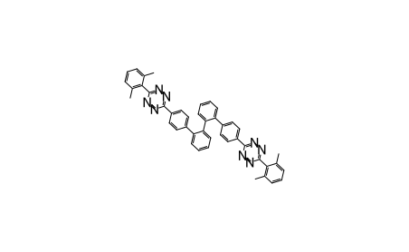 Cc1cccc(C)c1-c1nnc(-c2ccc(-c3ccccc3-c3ccccc3-c3ccc(-c4nnc(-c5c(C)cccc5C)nn4)cc3)cc2)nn1